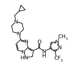 Cn1cc(NC(=O)C2=C3N=C(N4CCN(CC5CC5)CC4)C=CN3NC2)c(C(F)(F)F)n1